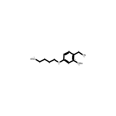 CCCCCCCCCCCCCCOc1ccc(CC#N)c(OC)c1